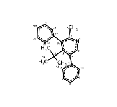 Cc1ncc(-c2ccccc2)c(C(C)(C)C)c1-c1ccccc1